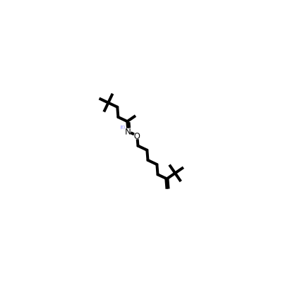 C=C(CCCCCO/N=C(\C)CCC(C)(C)C)C(C)(C)C